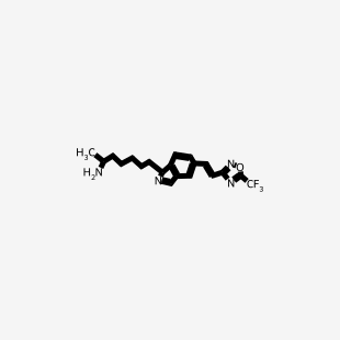 CC(N)CCCCCC1N=Cc2cc(C=Cc3noc(C(F)(F)F)n3)ccc21